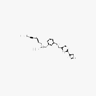 CN(CC=CC#CC(C)(C)C)Cc1cccc(OCc2csc(-c3cnco3)n2)c1